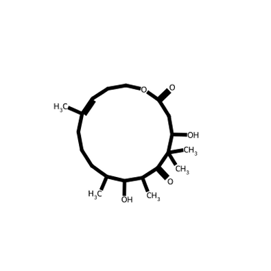 CC1=CCCOC(=O)CC(O)C(C)(C)C(=O)C(C)C(O)C(C)CCC1